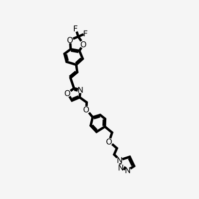 FC1(F)Oc2ccc(C=Cc3nc(COc4ccc(COCCn5ccnn5)cc4)co3)cc2O1